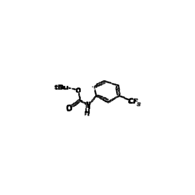 CC(C)(C)OC(=O)Nc1[c]ccc(C(F)(F)F)c1